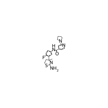 CC1(c2cc(NC(=O)c3ccnc(N4CCCC4)c3)ccc2F)CCSC(N)=N1